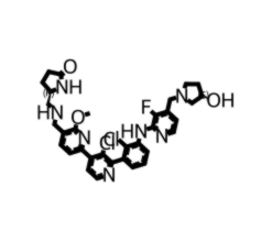 COc1nc(-c2ccnc(-c3cccc(Nc4nccc(CN5CC[C@H](O)C5)c4F)c3Cl)c2Cl)ccc1CNC[C@H]1CCC(=O)N1